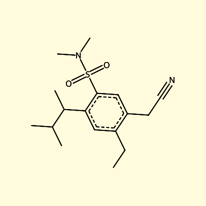 CCc1cc(C(C)C(C)C)c(S(=O)(=O)N(C)C)cc1CC#N